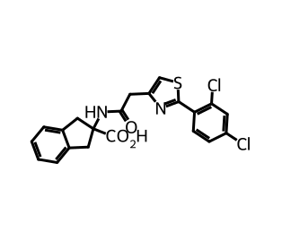 O=C(Cc1csc(-c2ccc(Cl)cc2Cl)n1)NC1(C(=O)O)Cc2ccccc2C1